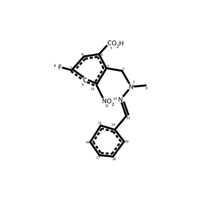 CN(Cc1c(C(=O)O)cc(F)cc1[N+](=O)[O-])/N=C/c1ccccc1